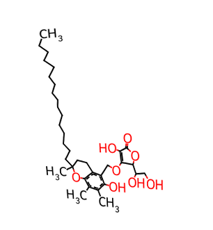 CCCCCCCCCCCCCCCCC1(C)CCc2c(COC3=C(O)C(=O)OC3C(O)CO)c(O)c(C)c(C)c2O1